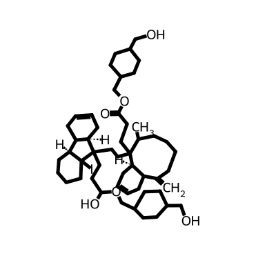 C=C1CCCCC(C)C(CCC(=O)OCC2CCC(CO)CC2)(CCC2(CCC(O)OCC3CCC(CO)CC3)[C@@H]3CC=CCC3[C@@H]3CCCCC32I)[C@@H]2CC=CCC12